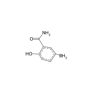 Bc1ccc(O)c(C(N)=O)c1